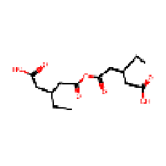 CCC(CC(=O)O)CC(=O)OC(=O)CC(CC)CC(=O)O